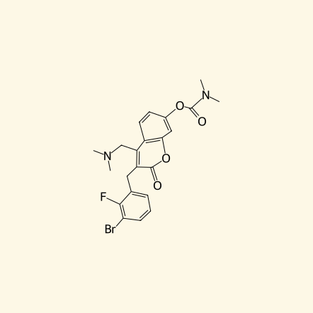 CN(C)Cc1c(Cc2cccc(Br)c2F)c(=O)oc2cc(OC(=O)N(C)C)ccc12